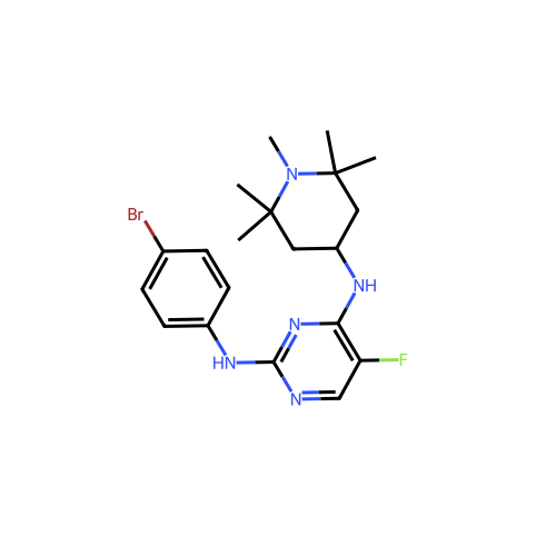 CN1C(C)(C)CC(Nc2nc(Nc3ccc(Br)cc3)ncc2F)CC1(C)C